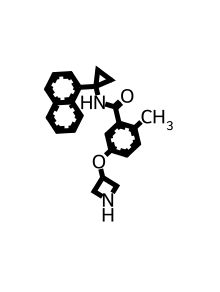 Cc1ccc(OC2CNC2)cc1C(=O)NC1(c2cccc3ccccc23)CC1